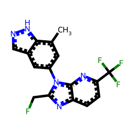 Cc1cc(-n2c(CF)nc3ccc(C(F)(F)F)nc32)cc2cn[nH]c12